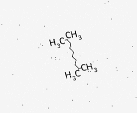 CC(C)CCCCCCC(C)C